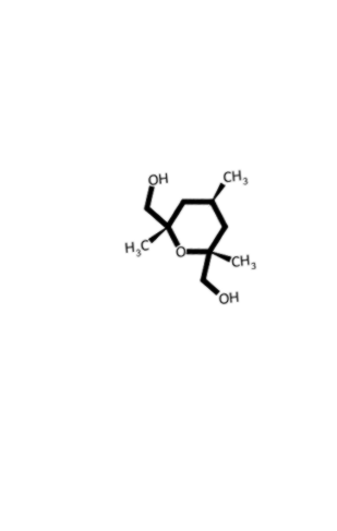 C[C@H]1C[C@](C)(CO)O[C@](C)(CO)C1